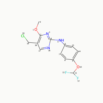 COc1nc(Nc2ccc(OC(F)F)cc2)ncc1CCl